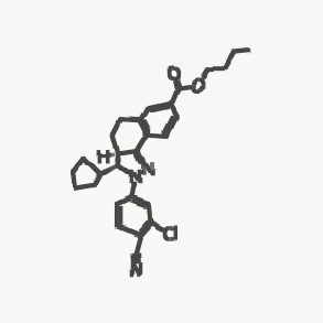 CCCCOC(=O)c1ccc2c(c1)CC[C@H]1C2=NN(c2ccc(C#N)c(Cl)c2)[C@H]1C1CCCC1